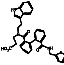 O=C(O)CCN(CCc1c[nH]c2ccccc12)C(=O)c1ccccc1-c1ccccc1C(=O)NCc1cccs1